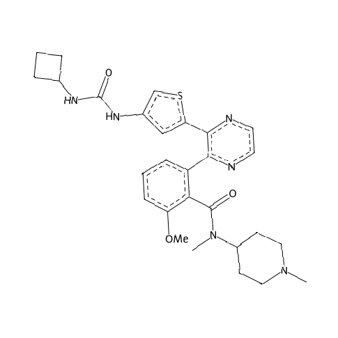 COc1cccc(-c2nccnc2-c2cc(NC(=O)NC3CCC3)cs2)c1C(=O)N(C)C1CCN(C)CC1